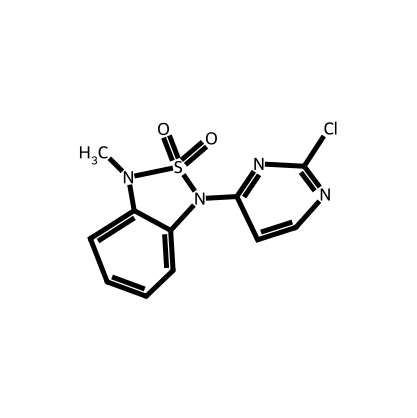 CN1c2ccccc2N(c2ccnc(Cl)n2)S1(=O)=O